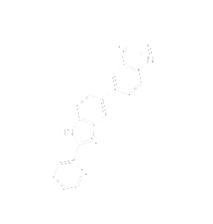 C/C=N/c1ccc(-c2ccc3[nH]c(-c4ccccn4)nc3c2)cc1N